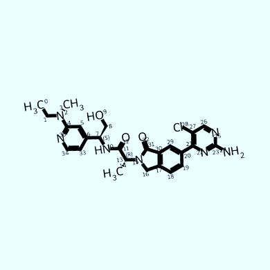 CCN(C)c1cc([C@@H](CO)NC(=O)[C@@H](C)N2Cc3ccc(-c4nc(N)ncc4Cl)cc3C2=O)ccn1